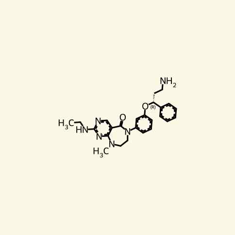 CCNc1ncc2c(n1)N(C)CCN(c1cccc(O[C@H](CCN)c3ccccc3)c1)C2=O